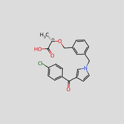 C[C@H](OCc1cccc(Cn2ccc(C(=O)c3ccc(Cl)cc3)c2)c1)C(=O)O